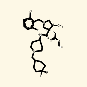 C[C@@H]1CN(Cc2c(Cl)cccc2Cl)C[C@]1(CC(=O)OC(C)(C)C)C(=O)NC1CCN(CC2CCC(F)(F)CC2)CC1